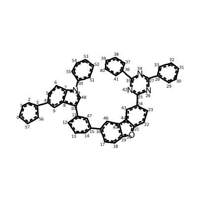 c1ccc(-c2ccc3c(c2)c(-c2cccc(-c4ccc5oc6ccc(-c7nc(-c8ccccc8)nc(-c8ccccc8)n7)cc6c5c4)c2)cn3-c2ccccc2)cc1